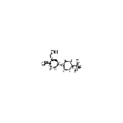 OCc1cc(N2CCC(C(F)(F)F)CC2)ccc1Cl